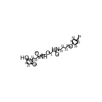 O=C(CCOCCNC(=O)CCN1C(=O)C=CC1O)NCCCCOc1ccc(I)cc1